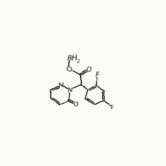 BOC(=O)C(c1ccc(F)cc1F)n1ncccc1=O